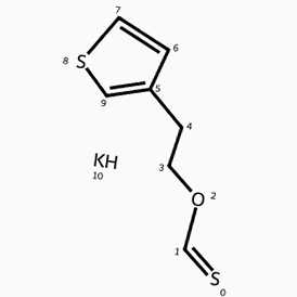 S=COCCc1ccsc1.[KH]